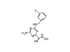 N=C(NO)c1nc(N)nc(NCc2cccc(F)c2)n1